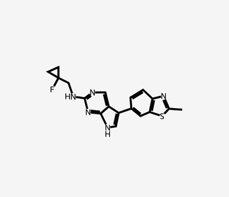 Cc1nc2ccc(-c3c[nH]c4nc(NCC5(F)CC5)ncc34)cc2s1